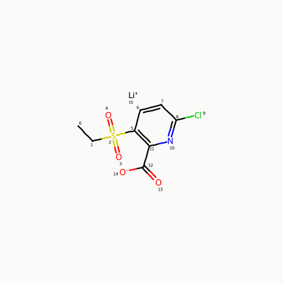 CCS(=O)(=O)c1ccc(Cl)nc1C(=O)[O-].[Li+]